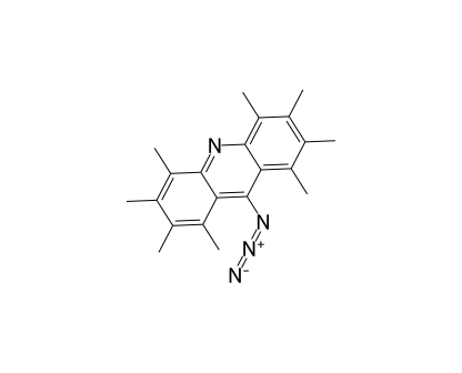 Cc1c(C)c(C)c2c(N=[N+]=[N-])c3c(C)c(C)c(C)c(C)c3nc2c1C